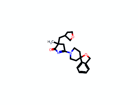 CC1(CC2CCOC2)CC(N2CCC3(CC2)OCc2ccccc23)=NC1=O